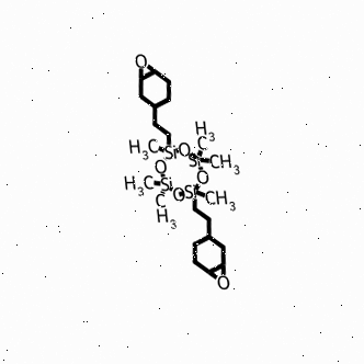 C[Si]1(C)O[Si](C)(CCC2CCC3OC3C2)O[Si](C)(C)O[Si](C)(CCC2CCC3OC3C2)O1